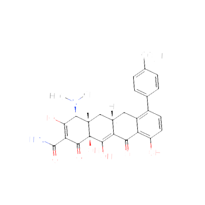 CN(C)[C@@H]1C(O)=C(C(N)=O)C(=O)[C@@]2(O)C(O)=C3C(=O)c4c(O)ccc(-c5ccc(C(=O)O)cc5)c4C[C@H]3C[C@@H]12